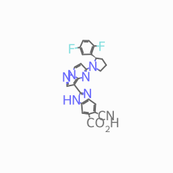 N#Cc1cc2nc(-c3cnn4ccc(N5CCC[C@@H]5c5cc(F)ccc5F)nc34)[nH]c2cc1C(=O)O